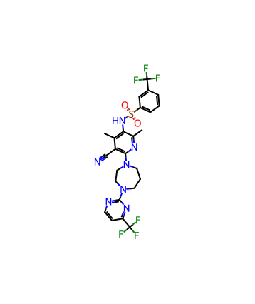 Cc1nc(N2CCCN(c3nccc(C(F)(F)F)n3)CC2)c(C#N)c(C)c1NS(=O)(=O)c1cccc(C(F)(F)F)c1